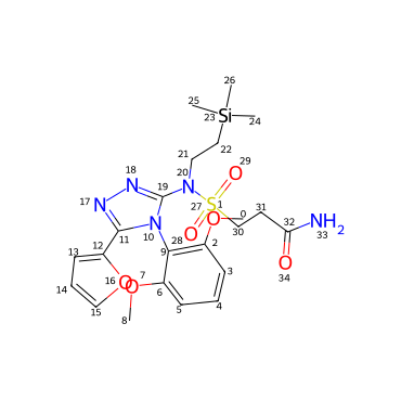 COc1cccc(OC)c1-n1c(-c2ccco2)nnc1N(CC[Si](C)(C)C)S(=O)(=O)CCC(N)=O